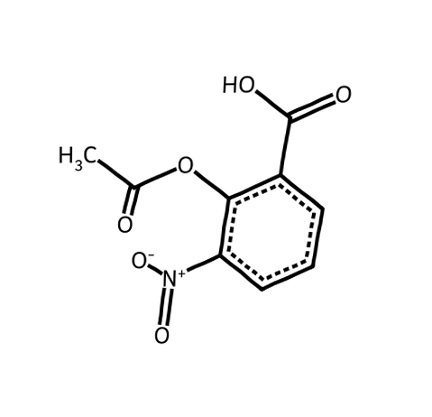 CC(=O)Oc1c(C(=O)O)cccc1[N+](=O)[O-]